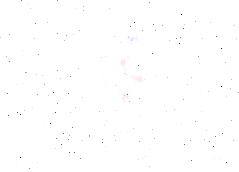 NCOC(=O)C1(Oc2ccccc2)CCC1